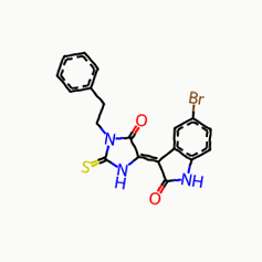 O=C1Nc2ccc(Br)cc2/C1=C1/NC(=S)N(CCc2ccccc2)C1=O